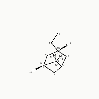 CC[C@]1(F)CC2C[C@H](C1)[C@H]2N